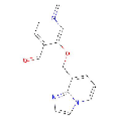 C=N/C=C(OCc1cccn2ccnc12)\C(C=O)=C/C